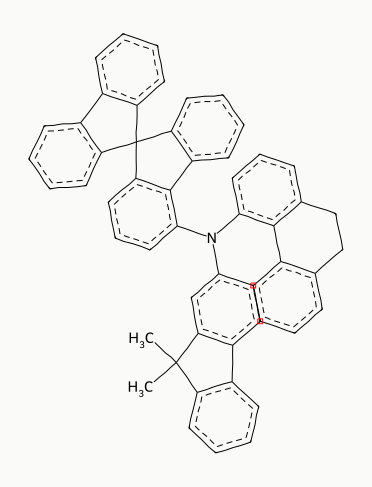 CC1(C)c2ccccc2-c2ccc(N(c3cccc4c3-c3ccccc3CC4)c3cccc4c3-c3ccccc3C43c4ccccc4-c4ccccc43)cc21